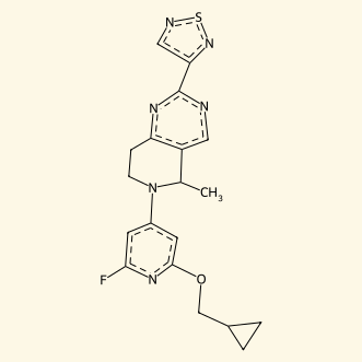 CC1c2cnc(-c3cnsn3)nc2CCN1c1cc(F)nc(OCC2CC2)c1